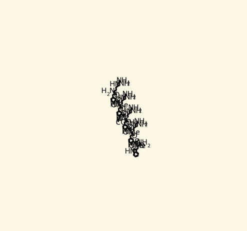 COc1ccc(CC(=O)[C@H](CCCNC(=N)N)NC(=O)c2cc(CC(=O)[C@H](CCCNC(=N)N)NC(=O)c3cc(CC(=O)[C@H](CCCNC(=N)N)NC(=O)c4cc(CC(=O)[C@@H](N)CCCNC(=N)N)ccc4OC)ccc3OCC(=O)O)ccc2OC)cc1C(=O)N[C@@H](Cc1c[nH]c2ccccc12)C(N)=O